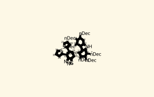 CCCCCCCCCCc1cc2[nH]c3c(CCCCCCCCCC)c(CCCCCCCCCC)c(CCCCCCCCCC)c(CCCCCCCCCC)c3c2c(CCCCCCCCCC)c1CCCCCCCCCC.c1csc(-c2ccc3snnc3c2-c2cccs2)c1